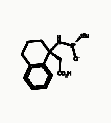 CC(C)(C)[S@+]([O-])N[C@@]1(CC(=O)O)CCCc2ccccc21